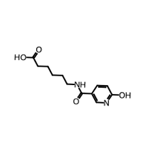 O=C(O)CCCCCNC(=O)c1ccc(O)nc1